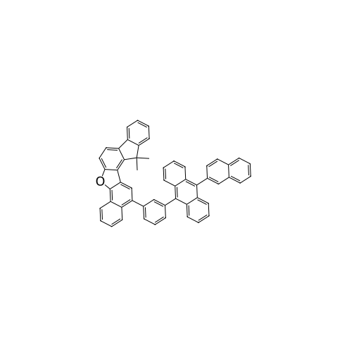 CC1(C)c2ccccc2-c2ccc3oc4c5ccccc5c(-c5cccc(-c6c7ccccc7c(-c7ccc8ccccc8c7)c7ccccc67)c5)cc4c3c21